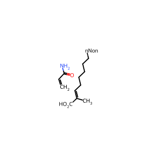 C=CC(N)=O.CCCCCCCCCCCCCCC=C(C)C(=O)O